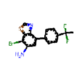 CC(F)(F)c1ccc(-c2cc(N)c(Br)c3scnc23)cc1